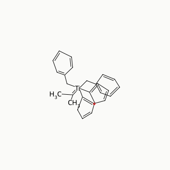 C[C](C)=[Ti]([CH2]c1ccccc1)([CH2]c1ccccc1)([C]1=CC=CC1)[C]1=CC=CC1